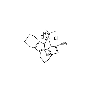 CCCC1=CC2=C(CCCC2)[CH]1[Zr]([Cl])([Cl])([CH]1C(CCC)=CC2=C1CCCC2)[SiH](C)C